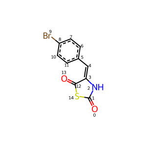 O=C1NC(=Cc2ccc(Br)cc2)C(=O)S1